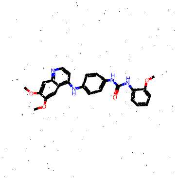 COc1ccccc1NC(=O)Nc1ccc(Nc2ccnc3cc(OC)c(OC)cc23)cc1